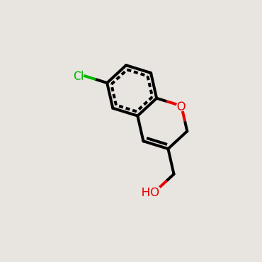 OCC1=Cc2cc(Cl)ccc2OC1